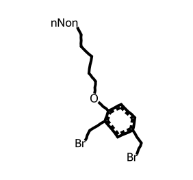 CCCCCCCCCCCCCCOc1ccc(CBr)cc1CBr